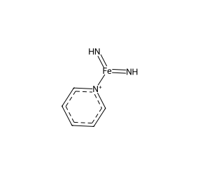 [NH]=[Fe](=[NH])[n+]1ccccc1